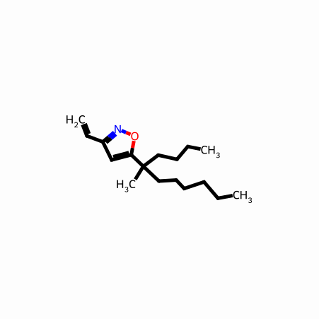 C=Cc1cc(C(C)(CCCC)CCCCCC)on1